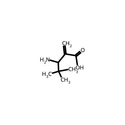 C=C(C(=O)O)C(N)C(C)(C)C